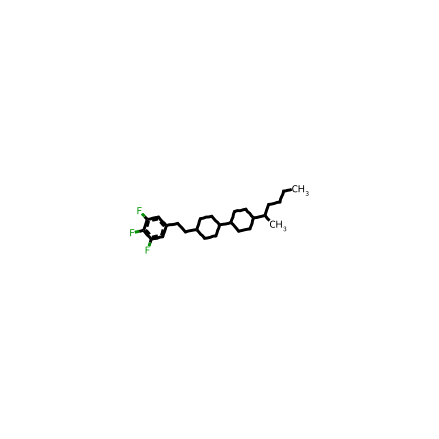 CCCCC(C)C1CCC(C2CCC(CCc3cc(F)c(F)c(F)c3)CC2)CC1